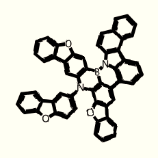 c1ccc2c(c1)ccc1c2c2cccc3c2n1B1c2cc4oc5ccccc5c4cc2N(c2ccc4oc5ccccc5c4c2)c2c1c-3cc1c2oc2ccccc21